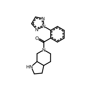 O=C(c1ccccc1-n1nccn1)N1CCC2CCNC2C1